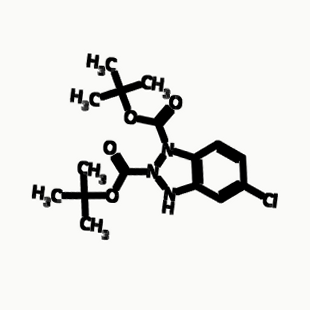 CC(C)(C)OC(=O)N1Nc2cc(Cl)ccc2N1C(=O)OC(C)(C)C